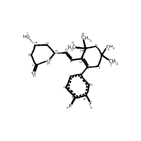 CC1(C)CC(c2ccc(F)c(F)c2)=C(/C=C/[C@@H]2C[C@@H](O)CC(=O)O2)C(C)(C)C1